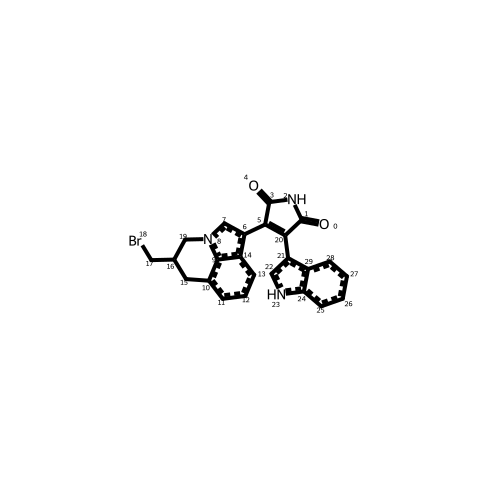 O=C1NC(=O)C(c2cn3c4c(cccc24)CC(CBr)C3)=C1c1c[nH]c2ccccc12